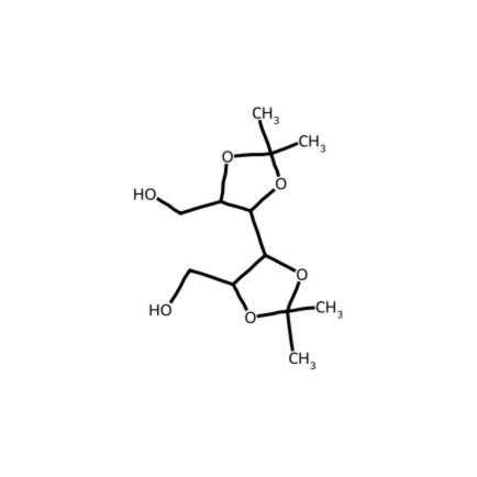 CC1(C)OC(CO)C(C2OC(C)(C)OC2CO)O1